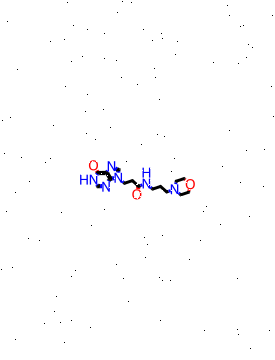 O=C(CCn1cnc2c(=O)[nH]cnc21)NCCCN1CCOCC1